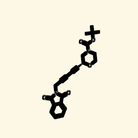 CC(C)(C)OC(=O)N1CCO[C@H](C#CC#CCN2C(=O)c3ccccc3C2=O)C1